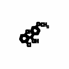 COc1ccc(C(O)c2c(O)cccc2Cl)cc1